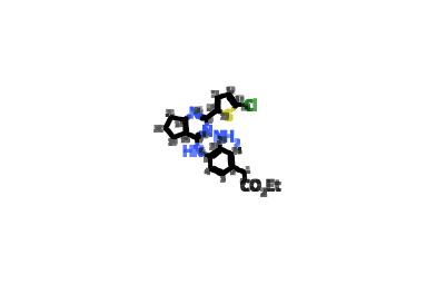 CCOC(=O)Cc1ccc(Nc2nc(-c3ccc(Cl)s3)nc3c2CCC3)c(N)c1